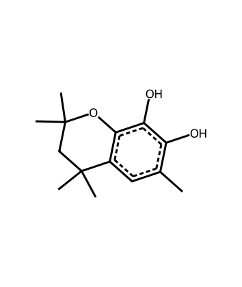 Cc1cc2c(c(O)c1O)OC(C)(C)CC2(C)C